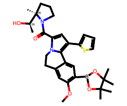 COc1cc2c(cc1B1OC(C)(C)C(C)(C)O1)-c1c(-c3cccs3)cc(C(=O)N3CCC[C@]3(C)[C@@H](C)O)n1CC2